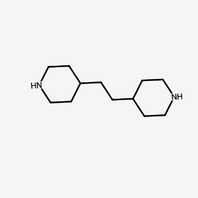 C1CC(CCC2CCNCC2)CCN1